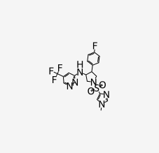 Cn1cnc(S(=O)(=O)N2CC(Nc3cc(C(F)(F)F)cnn3)C(c3ccc(F)cc3)C2)c1